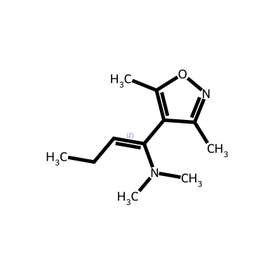 CC/C=C(/c1c(C)noc1C)N(C)C